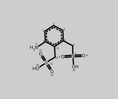 Nc1cccc(CS(=O)(=O)O)c1CS(=O)(=O)O